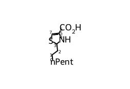 CCCCCCCC1NC(C(=O)O)=CS1